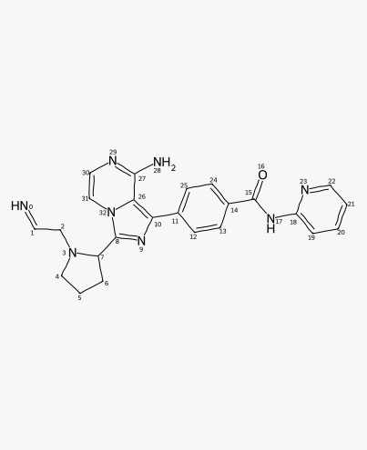 N=CCN1CCCC1c1nc(-c2ccc(C(=O)Nc3ccccn3)cc2)c2c(N)nccn12